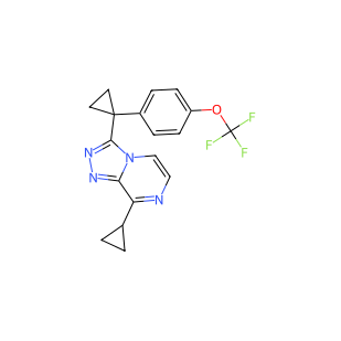 FC(F)(F)Oc1ccc(C2(c3nnc4c(C5CC5)nccn34)CC2)cc1